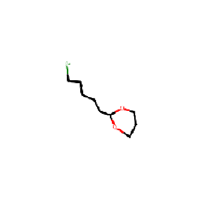 BrCCCCCC1OCCCO1